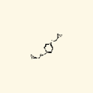 c1cc(OCC2CO2)ccc1COC[C@@H]1CO1